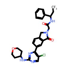 O=C(CN1Cc2ccc(-c3nc(NC4CCOCC4)ncc3Cl)cc2C1=O)NC(CC(F)(F)F)c1ccccc1